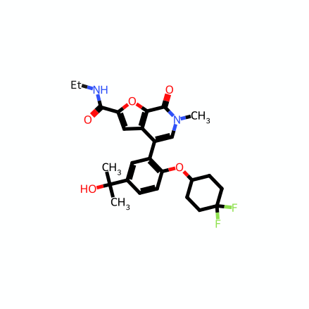 CCNC(=O)c1cc2c(-c3cc(C(C)(C)O)ccc3OC3CCC(F)(F)CC3)cn(C)c(=O)c2o1